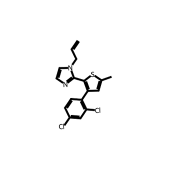 C=CCn1ccnc1-c1sc(C)cc1-c1ccc(Cl)cc1Cl